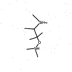 CC([SiH](C)C)C(C)(C)O[SiH](C)C